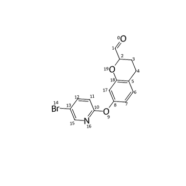 O=CC1CCc2ccc(Oc3ccc(Br)cn3)cc2O1